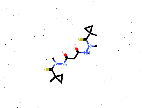 CN(NC(=O)CC(=O)NN(C)C(=S)C1(C)CC1)C(=S)C1(C)CC1